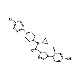 CCc1cnc(N2CCC(N(C(=O)c3cn(-c4ccc(C#N)cc4F)cn3)C3CC3)CC2)nc1